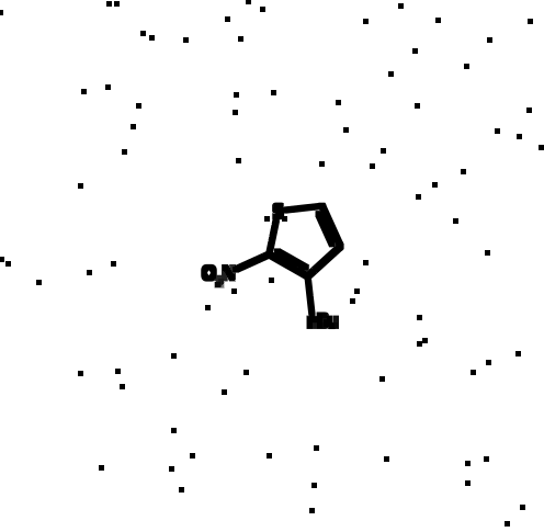 CCCCc1ccsc1[N+](=O)[O-]